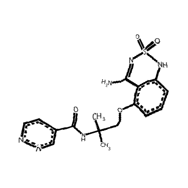 CC(C)(COc1cccc2c1C(N)=NS(=O)(=O)N2)NC(=O)c1ccnnc1